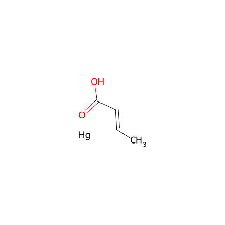 CC=CC(=O)O.[Hg]